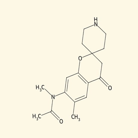 CC(=O)N(C)c1cc2c(cc1C)C(=O)CC1(CCNCC1)O2